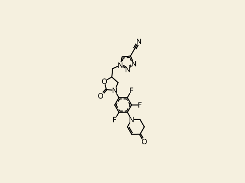 N#Cc1cn(CC2CN(c3cc(F)c(N4C=CC(=O)CC4)c(F)c3F)C(=O)O2)nn1